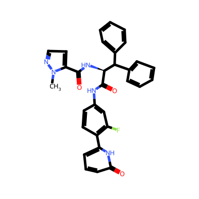 Cn1nccc1C(=O)N[C@H](C(=O)Nc1ccc(-c2cccc(=O)[nH]2)c(F)c1)C(c1ccccc1)c1ccccc1